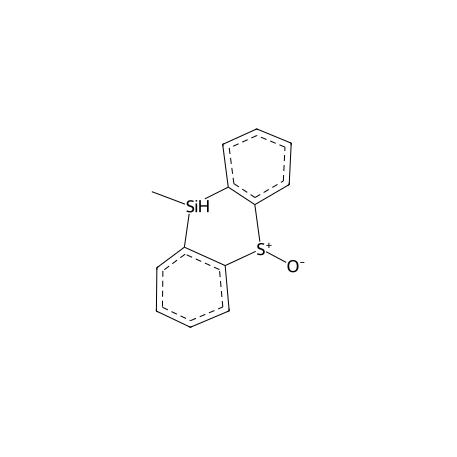 C[SiH]1c2ccccc2[S+]([O-])c2ccccc21